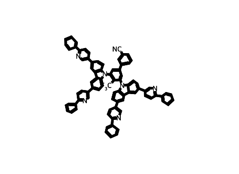 N#Cc1cccc(-c2cc(-n3c4ccc(-c5ccc(-c6ccccc6)nc5)cc4c4cc(-c5ccc(-c6ccccc6)nc5)ccc43)c(C(F)(F)F)c(-n3c4ccc(-c5ccc(-c6ccccc6)nc5)cc4c4cc(-c5ccc(-c6ccccc6)nc5)ccc43)c2)c1